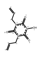 C=CCn1c(=O)n(O)c(=O)n(CC=C)c1=O